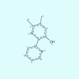 Cc1cc(O)c(-c2ccccn2)nc1C